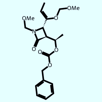 CC=C(OCOC)[C@@H]1[C@@H]([C@@H](C)OC(=O)OCc2ccccc2)C(=O)N1COC